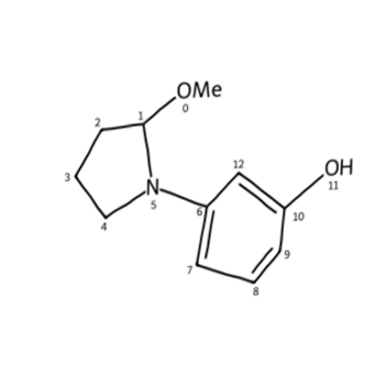 COC1CCCN1c1cccc(O)c1